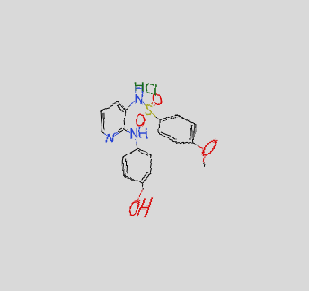 COc1ccc(S(=O)(=O)Nc2cccnc2Nc2ccc(O)cc2)cc1.Cl